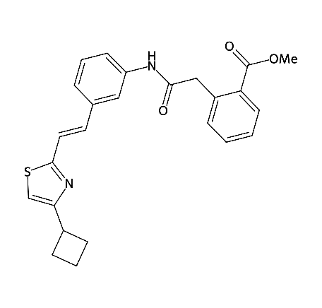 COC(=O)c1ccccc1CC(=O)Nc1cccc(C=Cc2nc(C3CCC3)cs2)c1